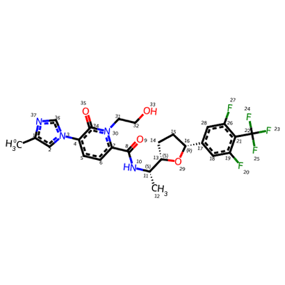 Cc1cn(-c2ccc(C(=O)N[C@@H](C)[C@@H]3CC[C@H](c4cc(F)c(C(F)(F)F)c(F)c4)O3)n(CCO)c2=O)cn1